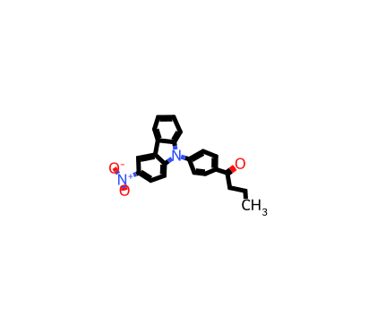 CCCC(=O)c1ccc(-n2c3ccccc3c3cc([N+](=O)[O-])ccc32)cc1